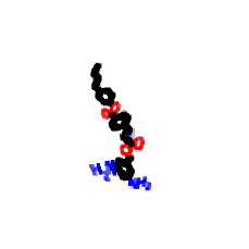 C=CCCC1CCC(OC(=O)c2ccc(/C=C/C(=O)OCc3cc(N)cc(N)c3)cc2)CC1